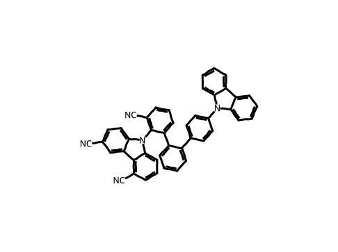 N#Cc1ccc2c(c1)c1c(C#N)cccc1n2-c1c(C#N)cccc1-c1ccccc1-c1ccc(-n2c3ccccc3c3ccccc32)cc1